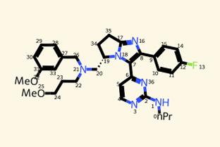 CCCNc1nccc(-c2c(-c3ccc(F)cc3)nc3n2[C@H](CN(CCCOC)Cc2cccc(OC)c2)CC3)n1